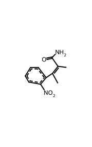 CC(C(N)=O)=C(C)c1ccccc1[N+](=O)[O-]